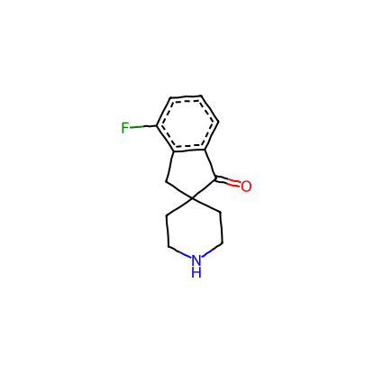 O=C1c2cccc(F)c2CC12CCNCC2